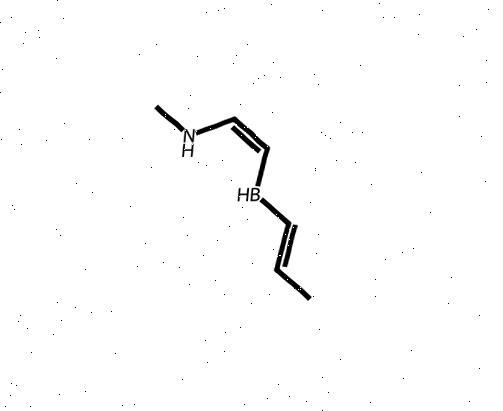 C/C=C/B/C=C\NC